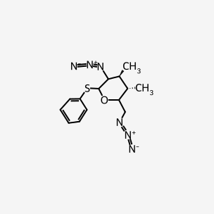 C[C@@H]1C(CN=[N+]=[N-])OC(Sc2ccccc2)C(N=[N+]=[N-])[C@H]1C